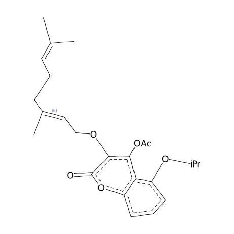 CC(=O)Oc1c(OC/C=C(\C)CCC=C(C)C)c(=O)oc2cccc(OC(C)C)c12